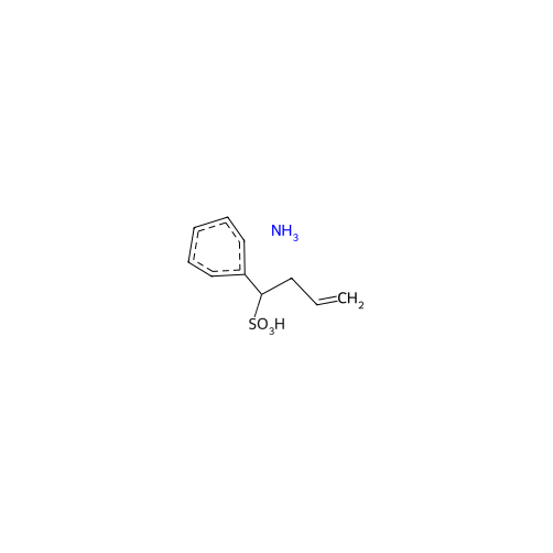 C=CCC(c1ccccc1)S(=O)(=O)O.N